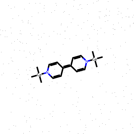 [CH3][Ge]([CH3])([CH3])[N]1C=CC(=C2C=C[N]([Ge]([CH3])([CH3])[CH3])C=C2)C=C1